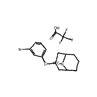 CN1C2CCCC1CC(Oc1cccc(Br)c1)C2.O=C(O)C(F)(F)F